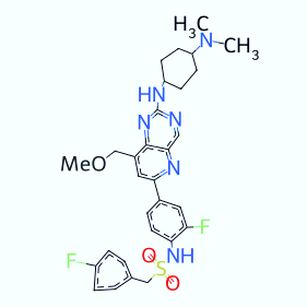 COCc1cc(-c2ccc(NS(=O)(=O)Cc3ccc(F)cc3)c(F)c2)nc2cnc(NC3CCC(N(C)C)CC3)nc12